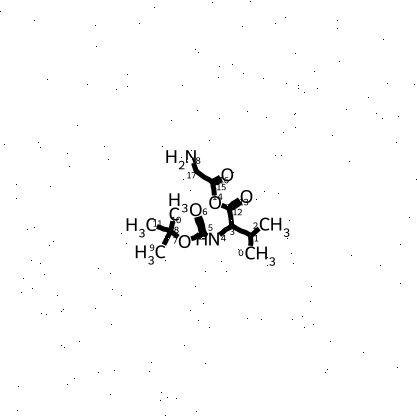 CC(C)C(NC(=O)OC(C)(C)C)C(=O)OC(=O)CN